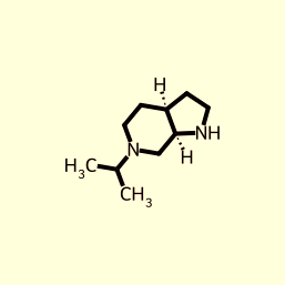 CC(C)N1CC[C@H]2CCN[C@H]2C1